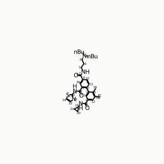 CCCCN(CCCC)CCCNC(=O)c1ccc(-c2cc(C(=O)NC3CC3)cc(F)c2C)c(C(=O)Nc2nccs2)c1